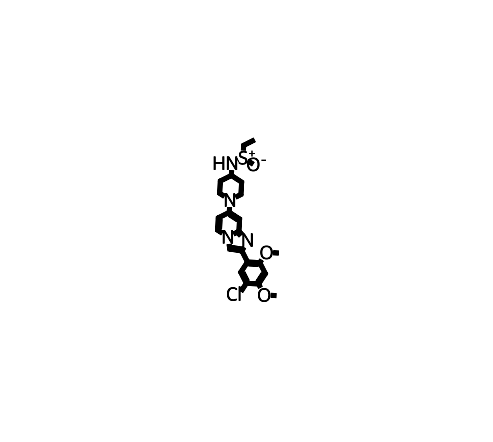 CC[S+]([O-])NC1CCN(c2ccn3cc(-c4cc(Cl)c(OC)cc4OC)nc3c2)CC1